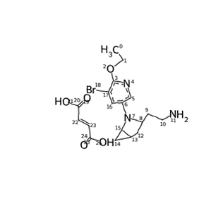 CCOc1ncc(N2C(CCN)CC3CC32)cc1Br.O=C(O)C=CC(=O)O